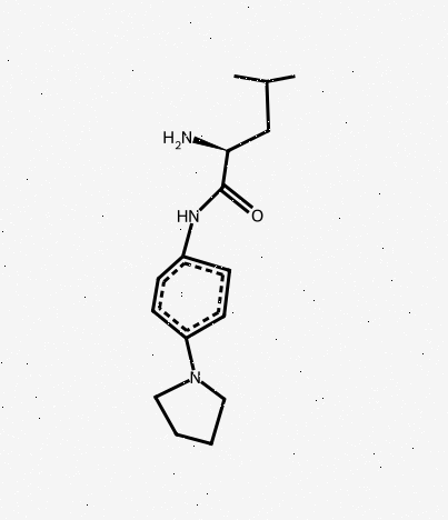 CC(C)C[C@H](N)C(=O)Nc1ccc(N2CCCC2)cc1